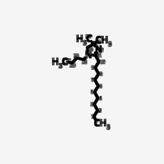 CCCCCCCCCCCC1=NC(C)(C)CN1CCCC